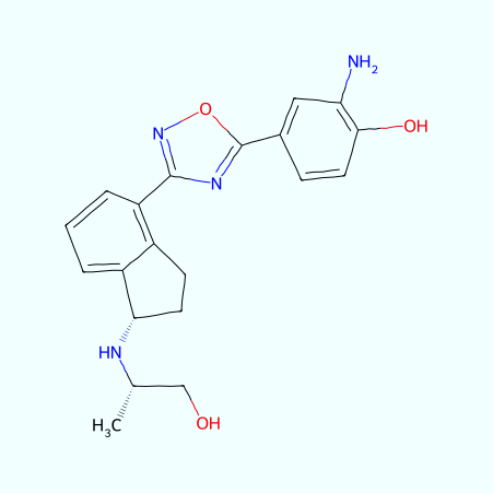 C[C@@H](CO)N[C@H]1CCc2c(-c3noc(-c4ccc(O)c(N)c4)n3)cccc21